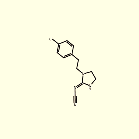 N#CN=C1NCCN1CCc1ccc(Cl)cc1